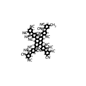 [C-]#[N+]B1c2c([N+]#[C-])cc(C#N)cc2-c2cc(C#N)c(-c3cc4cc(-c5c([N+]#[C-])cc6c(c5[N+]#[C-])B([N+]#[C-])c5c(C#N)cc(C)cc5-6)cc5c(-c6c([N+]#[C-])cc7c(c6C#N)B(C#N)c6c(C#N)cc([N+]#[C-])cc6-7)cc6cc(-c7c(C#N)cc8c(c7C#N)B(C#N)c7c([N+]#[C-])cc([N+]#[C-])cc7-8)cc3c6c45)c([N+]#[C-])c21